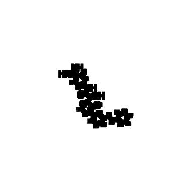 N=C(N)c1ccc(NC(=O)[C@H](O)[C@H]2OCCN(c3cccc(CCc4ccccc4)c3)C2=O)cc1